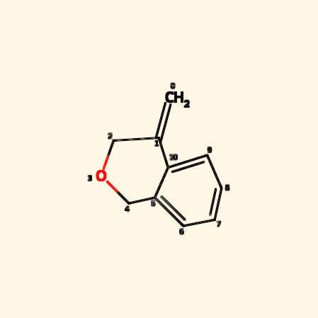 C=C1COCc2ccccc21